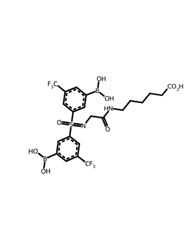 O=C(O)CCCCCNC(=O)CN=S(=O)(c1cc(B(O)O)cc(C(F)(F)F)c1)c1cc(B(O)O)cc(C(F)(F)F)c1